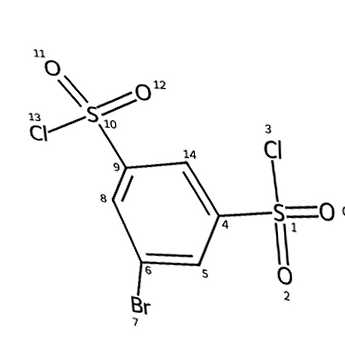 O=S(=O)(Cl)c1cc(Br)cc(S(=O)(=O)Cl)c1